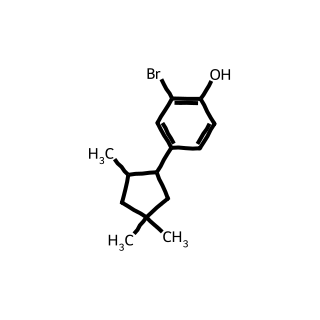 CC1CC(C)(C)CC1c1ccc(O)c(Br)c1